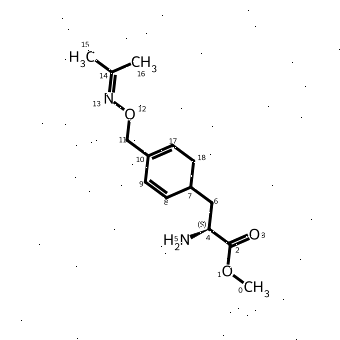 COC(=O)[C@@H](N)CC1C=CC(CON=C(C)C)=CC1